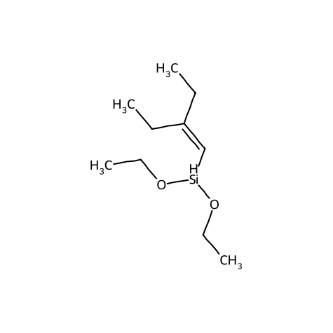 CCO[SiH](C=C(CC)CC)OCC